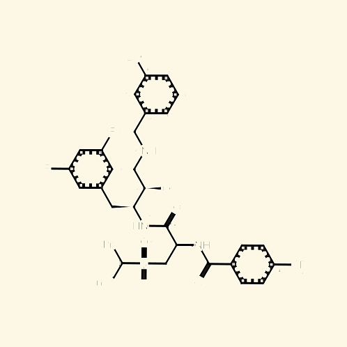 CCCC(CCC)S(=O)(=O)CC(NC(=O)c1ccc(C(F)(F)F)cc1)C(=O)N[C@@H](Cc1cc(F)cc(F)c1)[C@H](O)CNCc1cccc(CC)c1